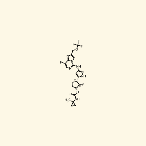 CC1(NC(=O)O[C@@H]2CC[C@H](c3cc(Nc4ncc(F)c5nc(COC(F)(F)F)cn45)n[nH]3)[C@H]2F)CC1